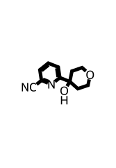 N#Cc1cccc(C2(O)CCOCC2)n1